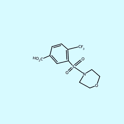 O=C(O)c1ccc(C(F)(F)F)c(S(=O)(=O)N2CCOCC2)c1